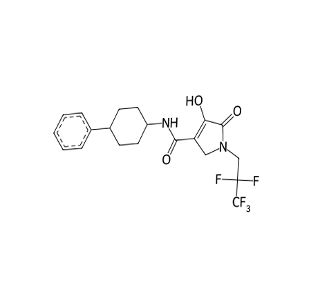 O=C(NC1CCC(c2ccccc2)CC1)C1=C(O)C(=O)N(CC(F)(F)C(F)(F)F)C1